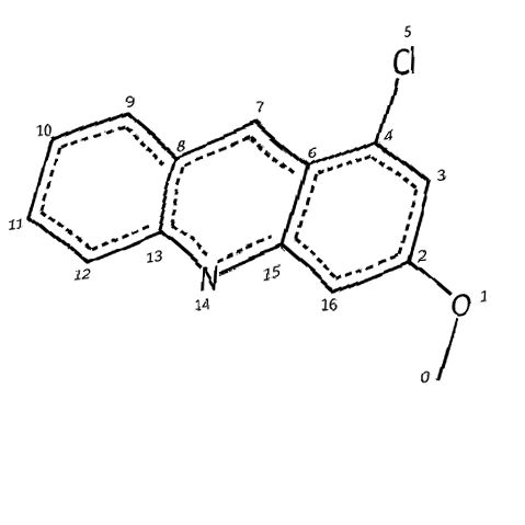 COc1cc(Cl)c2cc3ccccc3nc2c1